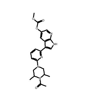 COC(=O)Oc1cnc2[nH]cc(-c3cccc(N4CC(C)N(C(C)=O)C(C)C4)n3)c2c1